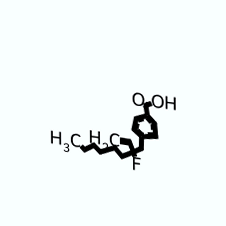 C=CC(F)(CCCCCC)Cc1ccc(C(=O)O)cc1